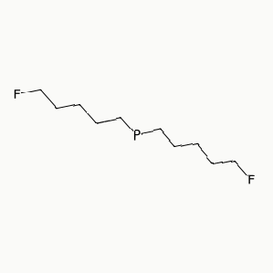 FCCCCC[P]CCCCCF